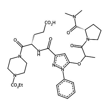 CCOC(=O)N1CCN(C(=O)[C@H](CCC(=O)O)NC(=O)c2cc(OC(C)C(=O)N3CCC[C@H]3C(=O)N(C)C)n(-c3ccccc3)n2)CC1